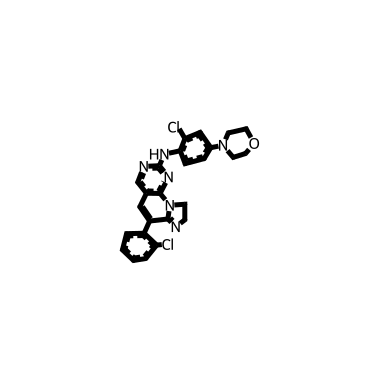 Clc1cc(N2CCOCC2)ccc1Nc1ncc2c(n1)N1CCN=C1C(c1ccccc1Cl)=C2